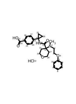 CN(CCOc1ccccc1)C1(C(=O)NC2(c3ccc(C(=O)O)cc3)CC2)CCOCC1.Cl